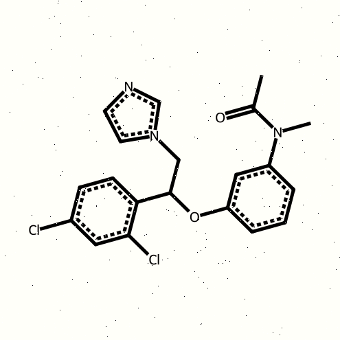 CC(=O)N(C)c1cccc(OC(Cn2ccnc2)c2ccc(Cl)cc2Cl)c1